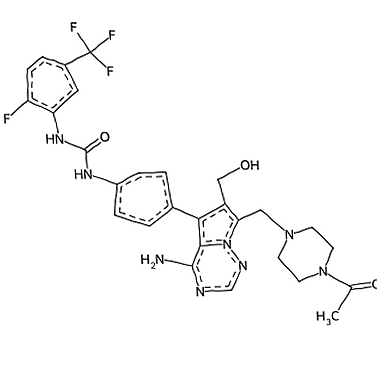 CC(=O)N1CCN(Cc2c(CO)c(-c3ccc(NC(=O)Nc4cc(C(F)(F)F)ccc4F)cc3)c3c(N)ncnn23)CC1